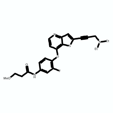 CCN(CC)CC#Cc1cc2nccc(Oc3ccc(NC(=O)CCOC)cc3F)c2s1